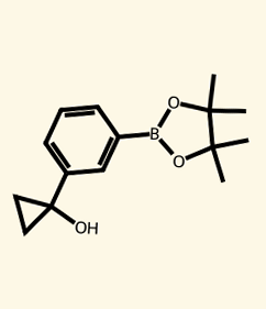 CC1(C)OB(c2cccc(C3(O)CC3)c2)OC1(C)C